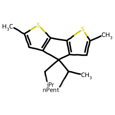 CCCCCC(C)C1(CC(C)C)c2cc(C)sc2-c2sc(C)cc21